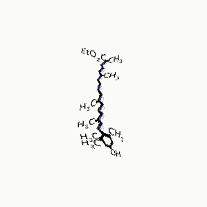 CCOC(=O)/C(C)=C/C=C/C(C)=C/C=C/C=C(C)/C=C/C=C(C)/C=C/C1=C(C)CC(O)CC1(C)C